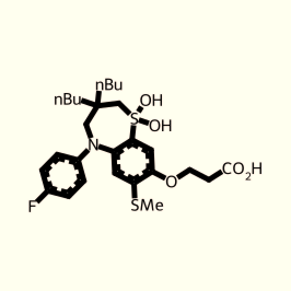 CCCCC1(CCCC)CN(c2ccc(F)cc2)c2cc(SC)c(OCCC(=O)O)cc2S(O)(O)C1